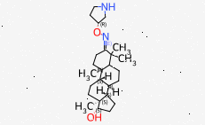 CC1(C)/C(=N/O[C@@H]2CCNC2)CC[C@@]2(C)C1CC[C@H]1[C@@H]3CC[C@H](O)[C@@]3(C)CC[C@@H]12